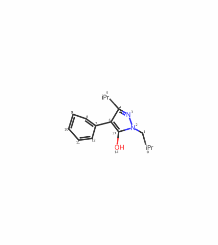 CC(C)Cn1nc(C(C)C)c(-c2ccccc2)c1O